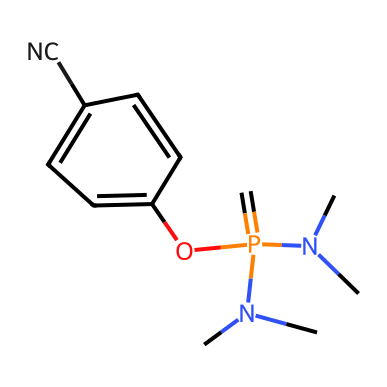 C=P(Oc1ccc(C#N)cc1)(N(C)C)N(C)C